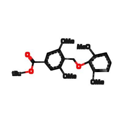 COc1cc(C(=O)OC(C)(C)C)cc(OC)c1COc1c(OC)cccc1OC